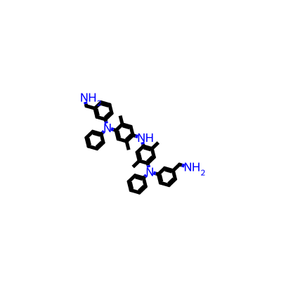 Cc1cc(N(c2ccccc2)c2cccc(CN)c2)c(C)cc1Nc1cc(C)c(N(c2ccccc2)c2cccc(CN)c2)cc1C